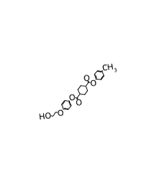 Cc1ccc(OC(=O)C2CCC(C(=O)Oc3ccc(OCCO)cc3)CC2)cc1